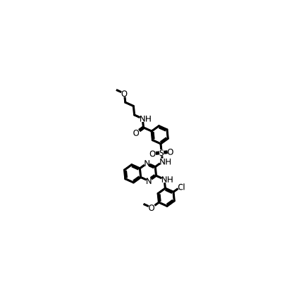 COCCCNC(=O)c1cccc(S(=O)(=O)Nc2nc3ccccc3nc2Nc2cc(OC)ccc2Cl)c1